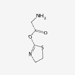 NCC(=O)OC1=NCCS1